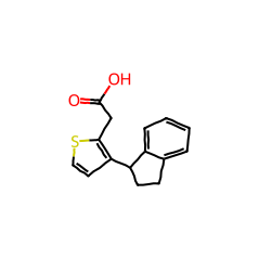 O=C(O)Cc1sccc1C1CCc2ccccc21